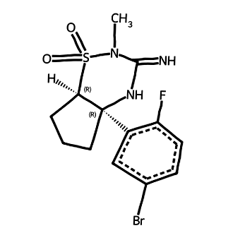 CN1C(=N)N[C@@]2(c3cc(Br)ccc3F)CCC[C@H]2S1(=O)=O